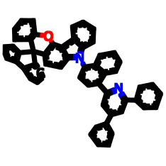 c1ccc(-c2cc(-c3ccccc3)nc(-c3ccc(-n4c5ccccc5c5c6c(ccc54)C4(c5ccccc5O6)c5ccccc5-c5ccccc54)c4ccccc34)c2)cc1